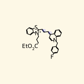 CCOC(=O)CCC[n+]1c(/C=C/C=C2\C=CN(Cc3ccc(F)cc3)c3ccccc32)sc2ccccc21